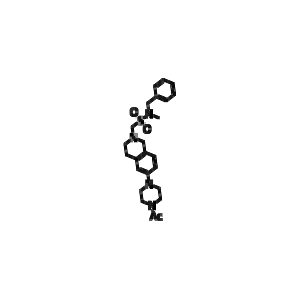 CC(=O)N1CCN(c2ccc3c(c2)CCN(CS(=O)(=O)N(C)Cc2ccccc2)C3)CC1